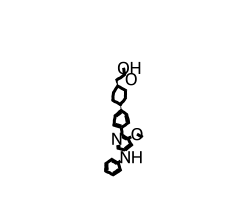 COc1cc(Nc2ccccc2)cnc1-c1ccc([C@H]2CC[C@H](CC(=O)O)CC2)cc1